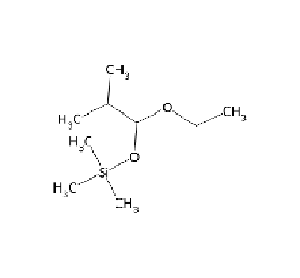 CCOC(O[Si](C)(C)C)C(C)C